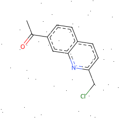 CC(=O)c1ccc2ccc(CCl)nc2c1